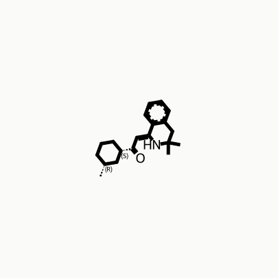 C[C@@H]1CCC[C@H](C(=O)C=C2NC(C)(C)Cc3ccccc32)C1